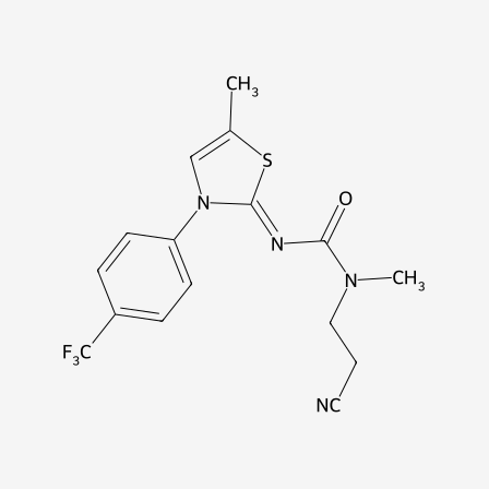 Cc1cn(-c2ccc(C(F)(F)F)cc2)/c(=N/C(=O)N(C)CCC#N)s1